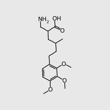 COc1ccc(CCC(C)CC(CN)C(=O)O)c(OC)c1OC